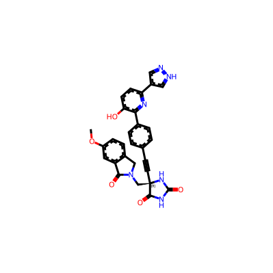 COc1ccc2c(c1)C(=O)N(C[C@@]1(C#Cc3ccc(-c4nc(-c5cn[nH]c5)ccc4O)cc3)NC(=O)NC1=O)C2